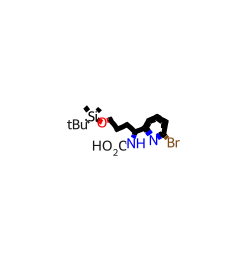 CC(C)(C)[Si](C)(C)OCCCC(NC(=O)O)c1cccc(Br)n1